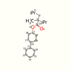 CC(C)CC(C)(C(=O)Oc1ccc(-c2ccccc2)cc1)C(C)C